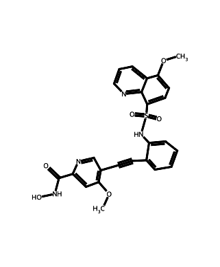 COc1cc(C(=O)NO)ncc1C#Cc1ccccc1NS(=O)(=O)c1ccc(OC)c2cccnc12